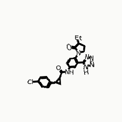 CCC1CCN(c2ccc(NC(=O)C3CC3c3ccc(Cl)cc3)cc2-c2nnn[nH]2)C1=O